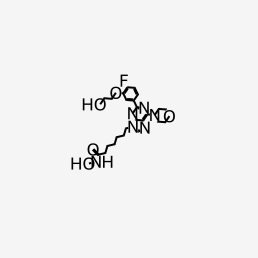 O=C(CCCCCCn1cnc2c(N3CCOCC3)nc(-c3ccc(F)c(OCCO)c3)nc21)NO